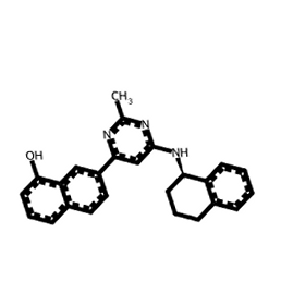 Cc1nc(N[C@@H]2CCCc3ccccc32)cc(-c2ccc3cccc(O)c3c2)n1